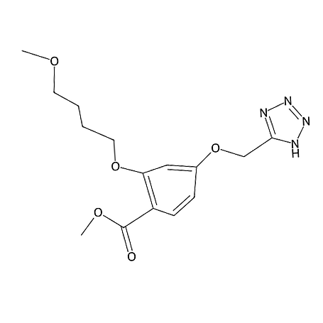 COCCCCOc1cc(OCc2nnn[nH]2)ccc1C(=O)OC